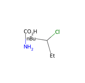 CCCCC(Cl)CC.NC(=O)O